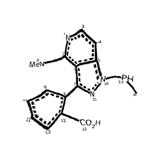 CNc1nccc2c1c(-c1ccccc1C(=O)O)nn2PC